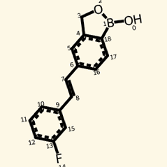 OB1OCc2cc(/C=C/c3cccc(F)c3)ccc21